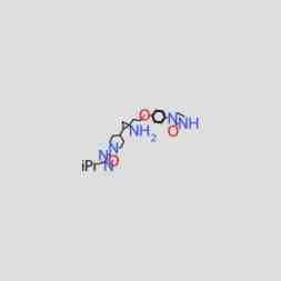 CC(C)c1noc(N2CCC(C3CC3(N)CCOc3ccc(N4CCNC4=O)cc3)CC2)n1